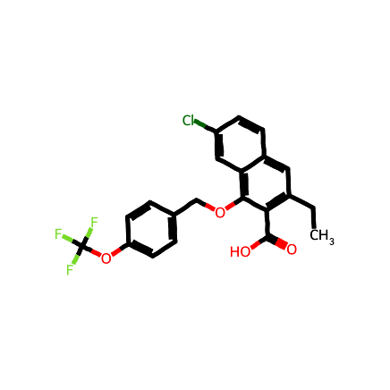 CCc1cc2ccc(Cl)cc2c(OCc2ccc(OC(F)(F)F)cc2)c1C(=O)O